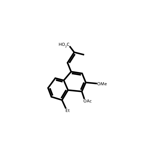 CCc1cccc2c(C=C(C)C(=O)O)cc(OC)c(OC(C)=O)c12